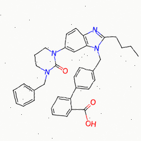 CCCCc1nc2ccc(N3CCCN(Cc4ccccc4)C3=O)cc2n1Cc1ccc(-c2ccccc2C(=O)O)cc1